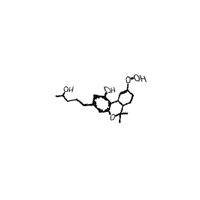 CC(O)CCCc1cc(O)c2c(c1)OC(C)(C)C1CCC(OO)=CC21